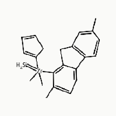 Cc1ccc2c(c1)Cc1c-2ccc(C)[c]1[Zr]([CH3])([CH3])(=[SiH2])[C]1=CC=CC1